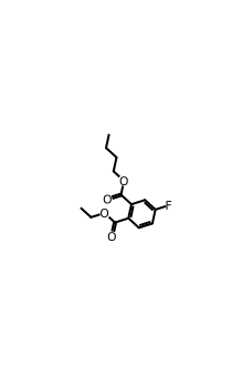 CCCCOC(=O)c1cc(F)ccc1C(=O)OCC